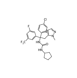 Cn1ncnc1CC(NC(=O)NC1CCCC1)(c1cc(F)cc(C(F)(F)F)c1)c1ccc(Cl)cn1